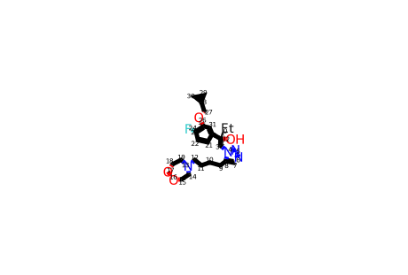 CC[C@@](O)(Cn1nncc1CCCCN1CCOOCC1)c1ccc(F)c(OCC2CC2)c1